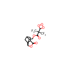 O=C1OC2C(COC(=O)C(C3OOO3)(C(F)(F)F)C(F)(F)F)C3CC1C2C3